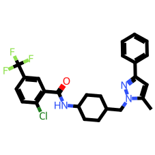 Cc1cc(-c2ccccc2)nn1CC1CCC(NC(=O)c2cc(C(F)(F)F)ccc2Cl)CC1